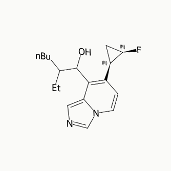 CCCCC(CC)C(O)c1c([C@H]2C[C@H]2F)ccn2cncc12